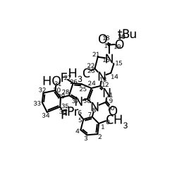 Cc1cccc(C(C)C)c1-n1c(=O)nc(N2CCN(C(=O)OC(C)(C)C)C[C@@H]2C)c2cc(F)c(-c3c(O)cccc3F)nc21